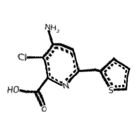 Nc1cc(-c2cccs2)nc(C(=O)O)c1Cl